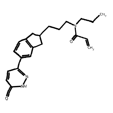 C=CC(=O)N(CCC)CCCC1Cc2ccc(-c3ccc(=O)[nH]n3)cc2C1